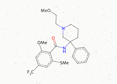 COCCN1CCCC(NC(=O)c2c(OC)cc(C(F)(F)F)cc2SC)(c2ccccc2)C1